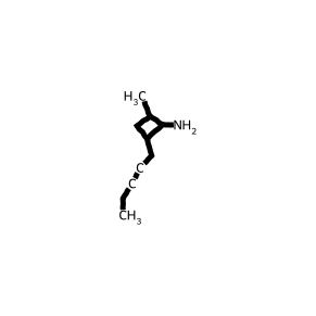 CCCCCC1CC(C)C1N